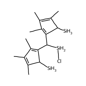 CC1=C(C)C([SiH3])C(C([SiH2]Cl)C2=C(C)C(C)=C(C)C2[SiH3])=C1C